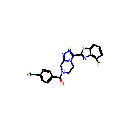 O=C(c1ccc(Cl)cc1)N1CCn2c(nnc2-c2nc3c(F)cccc3s2)C1